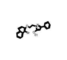 CCOc1cc(-c2ccccc2)nn1CCOc1ccc2ccccc2c1Br